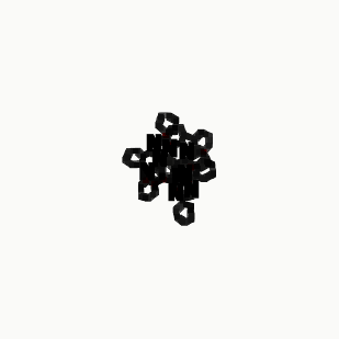 c1ccc(-c2nc(-c3ccccc3)nc(-c3cccc(-c4cccc5c6ccccc6n(-c6ccccc6-c6nc(-c7ccccc7)nc(-c7ccccc7-n7c8ccccc8c8c9c%10ccccc%10n(-c%10ccccc%10)c9ccc87)n6)c45)c3)n2)cc1